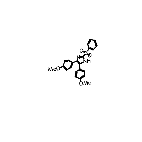 COc1ccc(-c2nc(S(=O)(=O)c3ccccc3)[nH]c2-c2ccc(OC)cc2)cc1